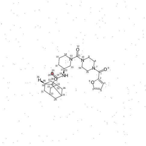 O=C(c1ccco1)N1CCN(C(=O)N2CCC[C@H](NC(=O)[C@@]34CC5CC(C3)C(OI)[C@H](C5)C4)C2)CC1